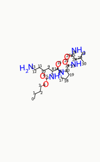 CCCCOC(=O)NC(CCCCN)C(=O)N1CCCC1C(=O)NC(C(N)=O)C(C)C